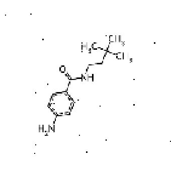 CC(C)(C)CCNC(=O)c1ccc(N)cc1